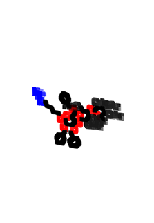 CC(=O)OCC1O[C@@H](O[C@@H]2C(COC(C)=O)O[C@@H](O[C@@H]3C(COCc4ccccc4)O[C@@H](OCCCCCN=[N+]=[N-])C(OCc4ccccc4)[C@@H]3OCc3ccccc3)C(OC(C)=O)[C@@H]2OC(C)=O)C(OC(C)=O)[C@H](OC(C)=O)[C@@H]1OC(C)=O